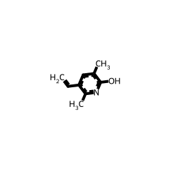 C=Cc1cc(C)c(O)nc1C